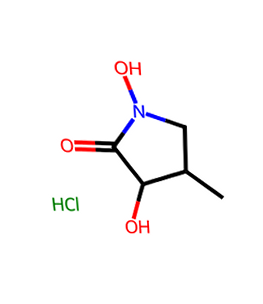 CC1CN(O)C(=O)C1O.Cl